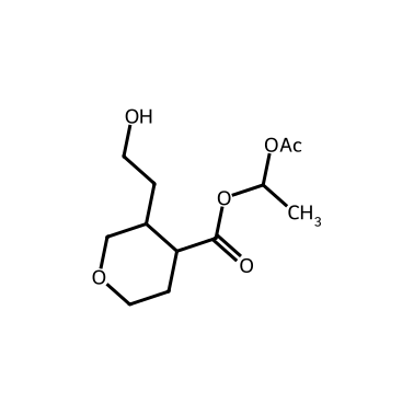 CC(=O)OC(C)OC(=O)C1CCOCC1CCO